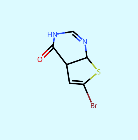 O=C1NC=NC2SC(Br)=CC12